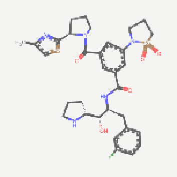 Cc1csc([C@H]2CCCN2C(=O)c2cc(C(=O)N[C@@H](Cc3cccc(F)c3)[C@H](O)[C@H]3CCCN3)cc(N3CCCS3(=O)=O)c2)n1